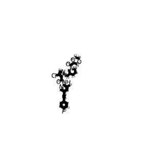 Cc1cc(C#Cc2ccc(F)cc2)cnc1NC(=O)c1c(Cl)cnn1CC1CCCN(C(=O)C2COCCO2)C1